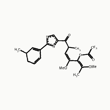 CO/C(C)=C(OC(=O)C(F)(F)F)/C(=C\C(C)C(=O)c1csc(C2=CC(C)CC=C2)n1)OC